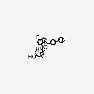 CC1(CC(=O)O)CC(C)(NC(=O)c2ccc(F)c3ccn(Cc4ccc(-c5ccncc5)cc4)c23)C1